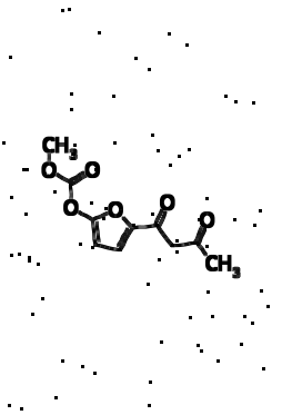 COC(=O)Oc1ccc(C(=O)CC(C)=O)o1